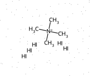 C[N+](C)(C)C.I.I.I.I.I